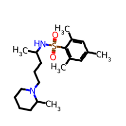 Cc1cc(C)c(S(=O)(=O)NC(C)CCCN2CCCCC2C)c(C)c1